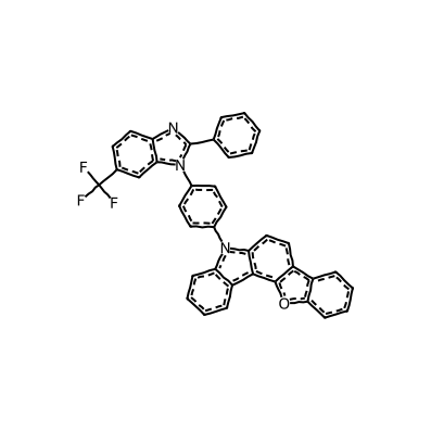 FC(F)(F)c1ccc2nc(-c3ccccc3)n(-c3ccc(-n4c5ccccc5c5c6oc7ccccc7c6ccc54)cc3)c2c1